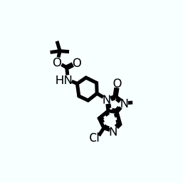 Cn1c(=O)n(C2CCC(NC(=O)OC(C)(C)C)CC2)c2cc(Cl)ncc21